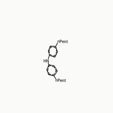 CCCCCc1ccc(Nc2ccc(CCCCC)cc2)cc1